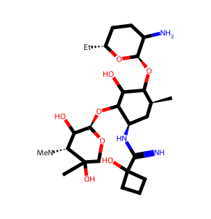 CC[C@@H]1CCC(N)[C@@H](OC2C(O)C(O[C@H]3OCC(C)(O)[C@H](NC)C3O)[C@H](NC(=N)C3(O)CCC3)C[C@@H]2C)O1